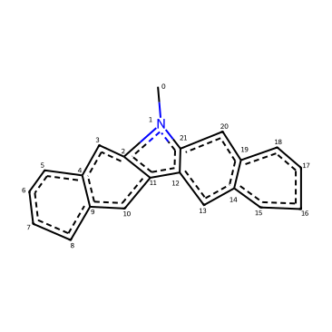 Cn1c2cc3ccccc3cc2c2cc3ccccc3cc21